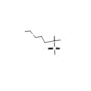 CCCCCC(C)(F)S(=O)(=O)O